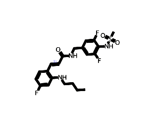 CCCCNc1cc(F)ccc1/C=C/C(=O)NCc1cc(F)c(NS(C)(=O)=O)c(F)c1